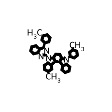 Cc1cccc(-c2nc(-n3c4ccc(C)cc4c4c5c6ccccc6n(-c6cccc(C)c6)c5ccc43)nc3ccccc23)c1